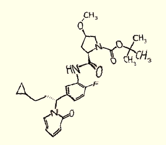 CO[C@@H]1C[C@H](C(=O)Nc2cc([C@@H](CCC3CC3)n3ccccc3=O)ccc2F)N(C(=O)OC(C)(C)C)C1